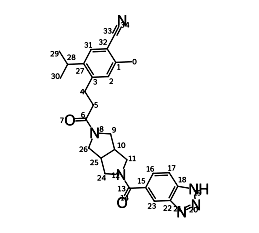 Cc1cc(CCC(=O)N2CC3CN(C(=O)c4ccc5[nH]nnc5c4)CC3C2)c(C(C)C)cc1C#N